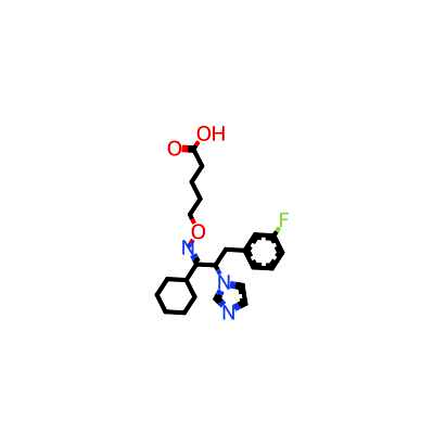 O=C(O)CCCCON=C(C1CCCCC1)C(Cc1cccc(F)c1)n1ccnc1